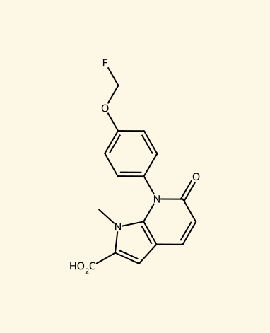 Cn1c(C(=O)O)cc2ccc(=O)n(-c3ccc(OCF)cc3)c21